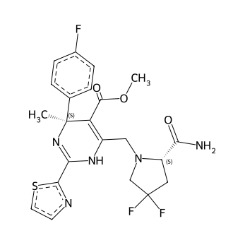 COC(=O)C1=C(CN2CC(F)(F)C[C@H]2C(N)=O)NC(c2nccs2)=N[C@@]1(C)c1ccc(F)cc1